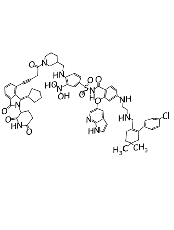 CC1(C)CCC(CNCCNc2ccc(C(=O)NS(=O)(=O)c3ccc(NCC4CCCN(C(=O)CC#Cc5cccc6c5C(=C5CCCC5)N(C5CCC(=O)NC5=O)C6=O)C4)c(N(O)O)c3)c(Oc3cnc4[nH]ccc4c3)c2)=C(c2ccc(Cl)cc2)C1